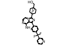 Nc1nccn2c(C34CCC(CO)(CC3)OC4)nc(-c3ccc(C(F)(F)c4cccnc4)cc3)c12